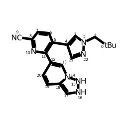 CC(C)(C)Cn1cc(-c2ccc(C#N)nc2C2=CN3NNC=C3C=C2)cn1